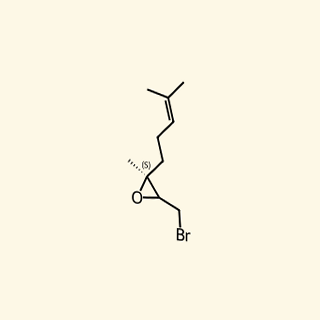 CC(C)=CCC[C@]1(C)OC1CBr